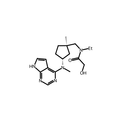 CCN(C[C@]1(C)CC[C@@H](N(C)c2ncnc3[nH]ccc23)C1)C(=O)CO